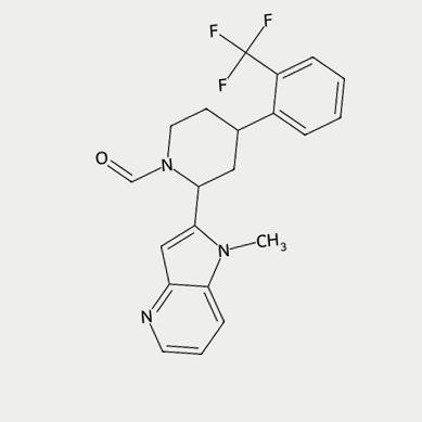 Cn1c(C2CC(c3ccccc3C(F)(F)F)CCN2C=O)cc2ncccc21